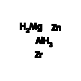 [AlH3].[MgH2].[Zn].[Zr]